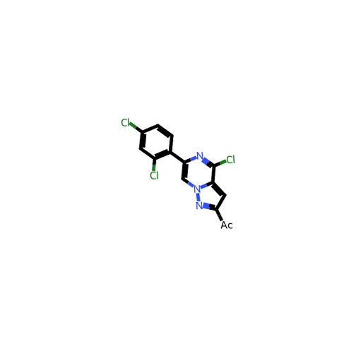 CC(=O)c1cc2c(Cl)nc(-c3ccc(Cl)cc3Cl)cn2n1